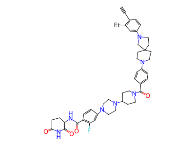 C#Cc1ccc(N2CCC3(CCN(c4ccc(C(=O)N5CCC(N6CCN(c7ccc(C(=O)NC8CCC(=O)NC8=O)c(F)c7)CC6)CC5)cc4)CC3)C2)cc1CC